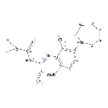 C=C/C(=N\c1c(NC)ccc(N2CCCCCC2)c1C)NC(=O)C1CC1